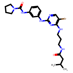 CC(C)CC(=O)NCCCNc1nc(Nc2cccc(NC(=O)N3CCCC3)c2)ncc1Br